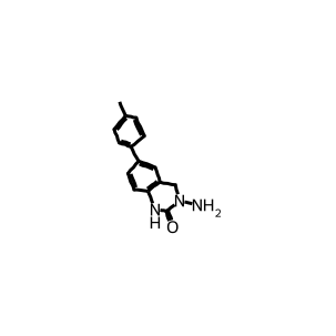 Cc1ccc(-c2ccc3c(c2)CN(N)C(=O)N3)cc1